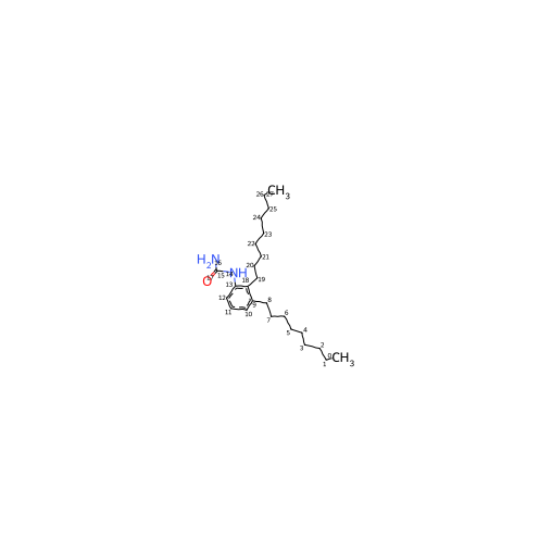 CCCCCCCCCc1cccc(NC(N)=O)c1CCCCCCCCC